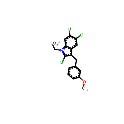 O=C(O)Cn1c(Cl)c(Cc2cccc(OC(F)(F)F)c2)c2cc(Cl)c(Cl)cc21